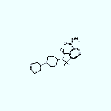 CC1(C)c2cccc(C(N)=O)c2C(=O)N1C1CCN(C2CCCCC2)CC1